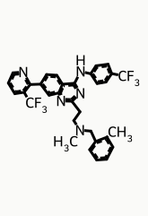 Cc1ccccc1CN(C)CCc1nc(Nc2ccc(C(F)(F)F)cc2)c2ccc(-c3ncccc3C(F)(F)F)cc2n1